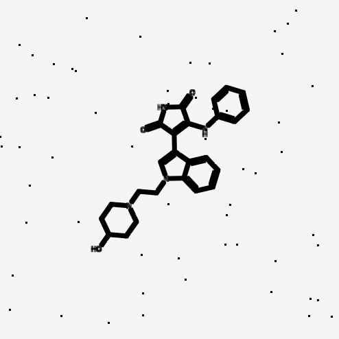 O=C1NC(=O)C(c2cn(CCN3CCC(O)CC3)c3ccccc23)=C1Nc1ccccc1